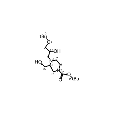 CC(C)(C)OCC(O)CN1CCN(C(=O)OC(C)(C)C)CC1CO